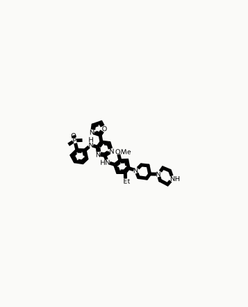 CCc1cc(Nc2ncc(-c3ncco3)c(Nc3ccccc3P(C)(C)=O)n2)c(OC)cc1N1CCC(N2CCNCC2)CC1